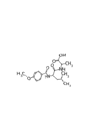 COc1ccc(C(=O)NC(CC(C)C)C(=O)NC(C)C(=O)O)cc1